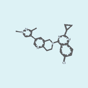 Cc1nn(C)cc1-c1cnc2c(c1)CN(c1nc(C3CC3)nc3ccc(Cl)cc13)CC2